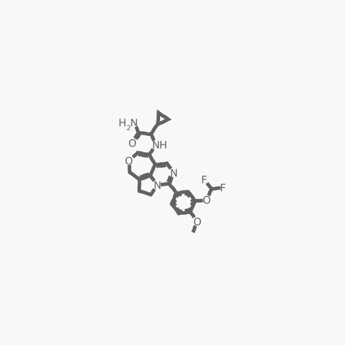 COc1ccc(C2=NC=C3C(NC(C(N)=O)C4CC4)=COCC4=C3N2CC4)cc1OC(F)F